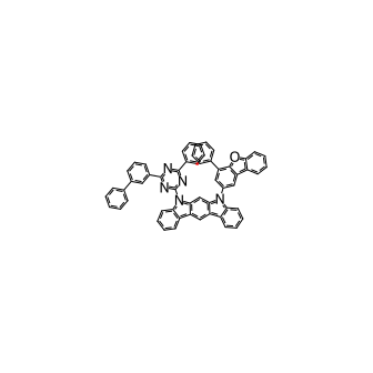 c1ccc(-c2cccc(-c3nc(-c4ccccc4)nc(-n4c5ccccc5c5cc6c7ccccc7n(-c7cc(-c8ccccc8)c8oc9ccccc9c8c7)c6cc54)n3)c2)cc1